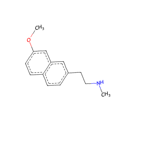 CNCCc1ccc2ccc(OC)cc2c1